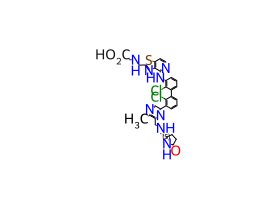 Cc1ncc(-c2cccc(-c3cccc(Nc4nccc5sc(CNCC(=O)O)nc45)c3Cl)c2Cl)nc1CNC[C@@H]1CCC(=O)N1